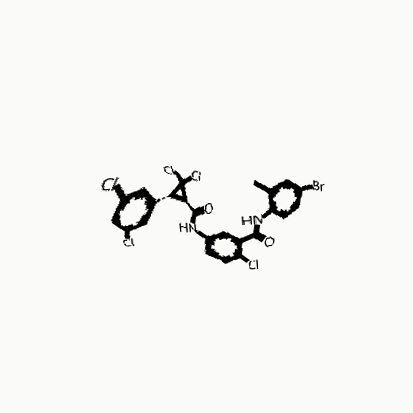 Cc1cc(Br)ccc1NC(=O)c1cc(NC(=O)[C@H]2[C@H](c3cc(Cl)cc(Cl)c3)C2(Cl)Cl)ccc1Cl